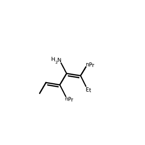 C/C=C(CCC)/C(N)=C(\CC)CCC